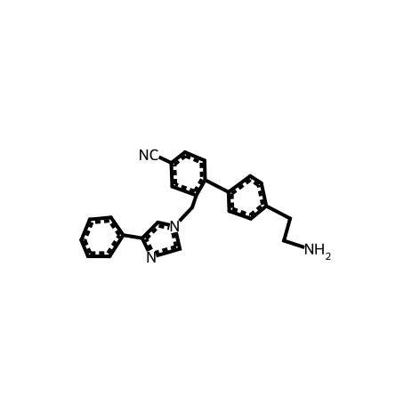 N#Cc1ccc(-c2ccc(CCN)cc2)c(Cn2cnc(-c3ccccc3)c2)c1